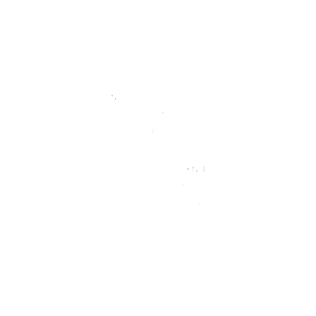 N#C[CH]c1cccc(Nc2ccccc2)c1